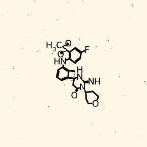 CS(=O)(=O)c1cc(F)ccc1Nc1cccc2c1C[C@]21CC(=O)N(C2CCOCC2)C(=N)N1